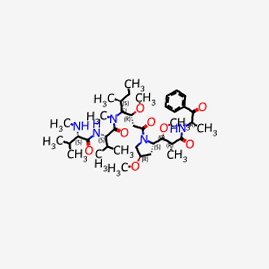 CC[C@H](C)[C@@H]([C@@H](CC(=O)N1C[C@H](OC)C[C@H]1[C@H](OC)[C@@H](C)C(=O)N[C@H](C)C(=O)c1ccccc1)OC)N(C)C(=O)[C@@H](NC(=O)[C@@H](NC)C(C)C)C(C)C